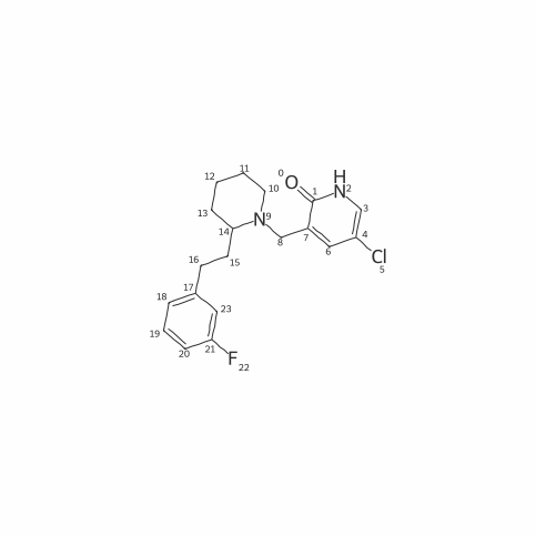 O=c1[nH]cc(Cl)cc1CN1CCCCC1CCc1cccc(F)c1